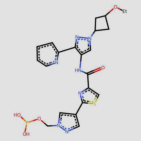 CCOC1CC(n2cc(NC(=O)c3csc(-c4cnn(COP(O)O)c4)n3)c(-c3ccccn3)n2)C1